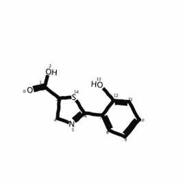 O=C(O)C1CN=C(c2ccccc2O)S1